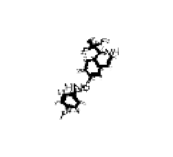 CC(F)(F)C1NCCc2cc(SNc3ccc(F)cc3)ccc21